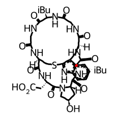 CC[C@H](C)C1NC(=O)CNC(=O)[C@@H]2Cc3c([nH]c4ccccc34)SC[C@H](NC(=O)CNC1=O)C(=O)N[C@@H](CC(=O)O)C(=O)N1C[C@H](O)C[C@H]1C(=O)N[C@@H]([C@@H](C)CC)C(=O)N2